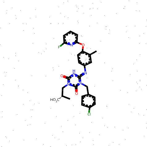 Cc1cc(/N=c2\[nH]c(=O)n(C[C@H](C)C(=O)O)c(=O)n2Cc2ccc(Cl)cc2)ccc1Oc1cccc(F)n1